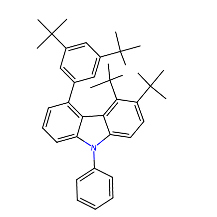 CC(C)(C)c1cc(-c2cccc3c2c2c(C(C)(C)C)c(C(C)(C)C)ccc2n3-c2ccccc2)cc(C(C)(C)C)c1